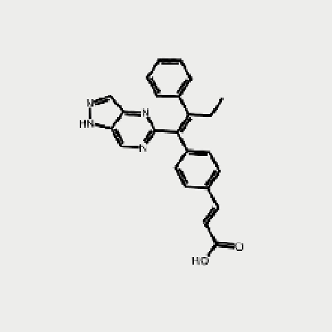 CCC(=C(c1ccc(C=CC(=O)O)cc1)c1ncc2[nH]ncc2n1)c1ccccc1